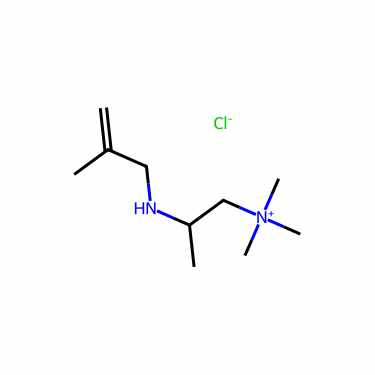 C=C(C)CNC(C)C[N+](C)(C)C.[Cl-]